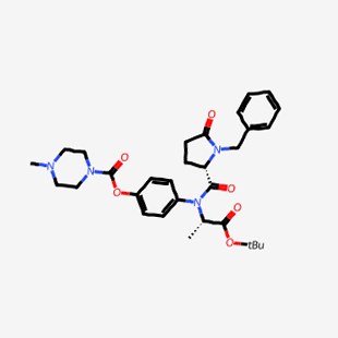 C[C@@H](C(=O)OC(C)(C)C)N(C(=O)[C@@H]1CCC(=O)N1Cc1ccccc1)c1ccc(OC(=O)N2CCN(C)CC2)cc1